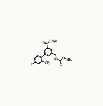 COC(=O)c1cc(CNC(=O)OC(C)(C)C)cc(-c2ccc(F)cc2C(F)(F)F)c1